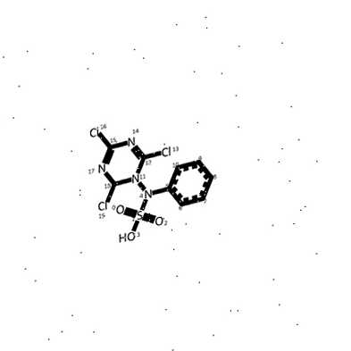 O=S(=O)(O)N(c1ccccc1)N1C(Cl)=NC(Cl)=NC1Cl